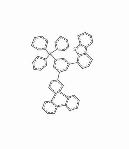 c1ccc([Si](c2ccccc2)(c2ccccc2)c2cc(-c3ccc4c5ccccc5c5ccccc5c4c3)cc(-c3cccc4c3sc3ccccc34)c2)cc1